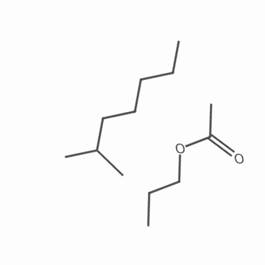 CCCCCC(C)C.CCCOC(C)=O